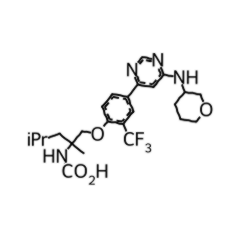 CC(C)CC(C)(COc1ccc(-c2cc(NC3CCCOC3)ncn2)cc1C(F)(F)F)NC(=O)O